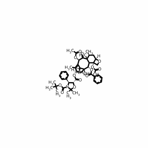 CC(=O)O[C@H]1C(=O)[C@@]2(C)C([C@H](OC(=O)c3ccccc3)[C@]3(O)C[C@H](OC(=O)[C@@H]4OC(C)(C)N(C(=O)OC(C)(C)C)[C@H]4c4ccccc4)C(C)=C1C3(C)C)[C@]1(OC(C)=O)CO[C@@H]1C[C@@H]2C